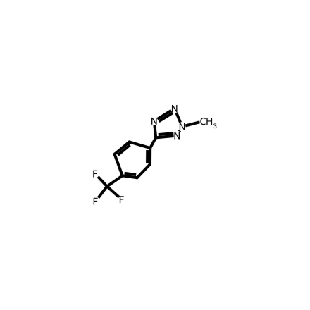 Cn1nnc(-c2ccc(C(F)(F)F)cc2)n1